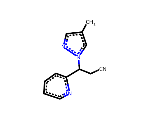 Cc1cnn(C(CC#N)c2ccccn2)c1